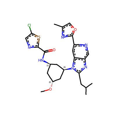 CO[C@@H]1C[C@@H](NC(=O)c2ncc(Cl)s2)C[C@@H](n2c(CC(C)C)nc3cnc(-c4nc(C)co4)cc32)C1